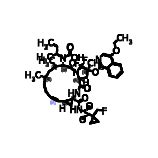 CCOc1cnc(O[C@]2(C)C[C@H]3C(=O)N[C@]4(C(=O)NS(=O)(=O)C5(CF)CC5)C[C@H]4/C=C\CC[C@@H](C)C[C@@H](C)[C@H](N(C(=O)O)C(C)CC)C(=O)N3C2(F)F)c2ccccc12